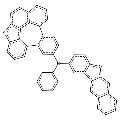 c1ccc(N(c2ccc3c(c2)-c2cccc4sc5ccc6cccc-3c6c5c24)c2ccc3oc4cc5ccccc5cc4c3c2)cc1